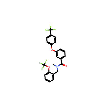 CN(Cc1ccccc1OC(F)(F)F)C(=O)c1cccc(Oc2ccc(C(F)(F)F)cc2)c1